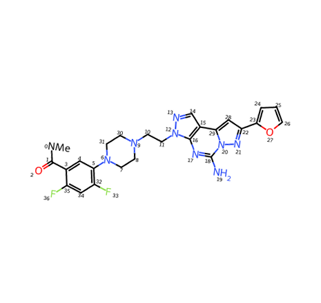 CNC(=O)c1cc(N2CCN(CCn3ncc4c3nc(N)n3nc(-c5ccco5)cc43)CC2)c(F)cc1F